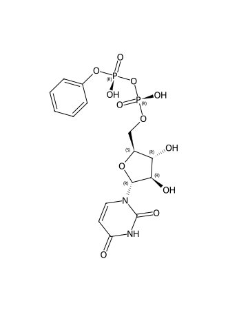 O=c1ccn([C@@H]2O[C@@H](CO[P@@](=O)(O)O[P@](=O)(O)Oc3ccccc3)[C@H](O)[C@H]2O)c(=O)[nH]1